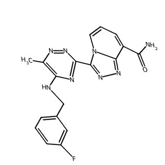 Cc1nnc(-c2nnc3c(C(N)=O)cccn23)nc1NCc1cccc(F)c1